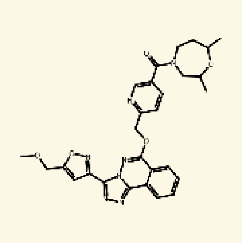 COCc1cc(-c2nnc3c4ccccc4c(OCc4ccc(C(=O)N5CCC(C)OC(C)C5)cn4)nn23)no1